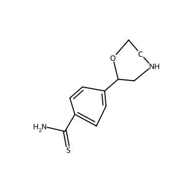 NC(=S)c1ccc(C2CNCCO2)cc1